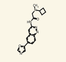 CN(CC(=O)Nc1cc2cc(-c3cnco3)ccc2nn1)C1CCC1